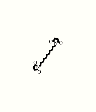 O=C1C=CC(=O)N1CCCCCCCCCCCN1C(=O)C=CC1=O